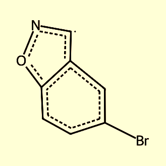 Brc1ccc2on[c]c2c1